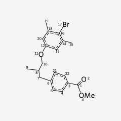 COC(=O)c1ccc(CC(C)COc2cc(C)c(Br)c(C)c2)cc1